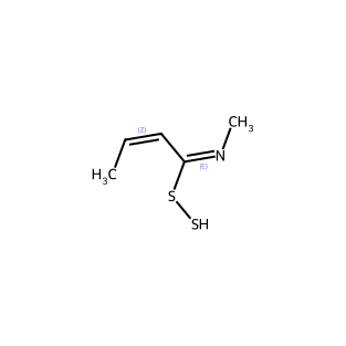 C/C=C\C(=N/C)SS